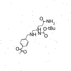 CC(C)(C)OC(=O)NC(CCC(N)=O)CNCc1ccc(S(C)(=O)=O)cc1